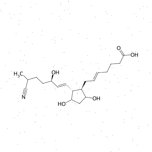 CC(C#N)CC[C@@H](O)C=C[C@H]1C(O)CC(O)[C@@H]1CC=CCCCC(=O)O